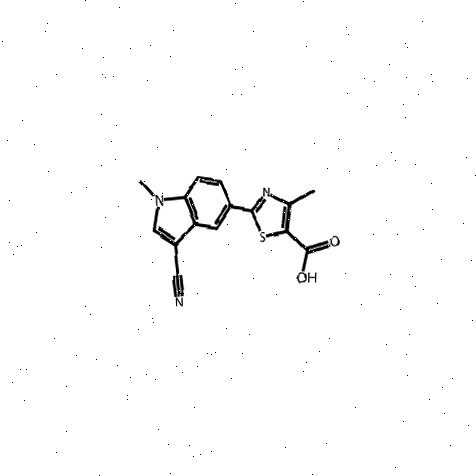 Cc1nc(-c2ccc3c(c2)c(C#N)cn3C)sc1C(=O)O